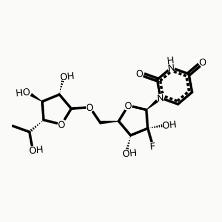 CC(O)[C@H]1OC(OC[C@H]2O[C@@H](n3ccc(=O)[nH]c3=O)[C@@](O)(F)[C@@H]2O)[C@@H](O)[C@@H]1O